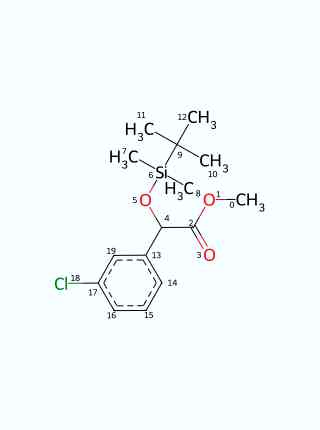 COC(=O)C(O[Si](C)(C)C(C)(C)C)c1cccc(Cl)c1